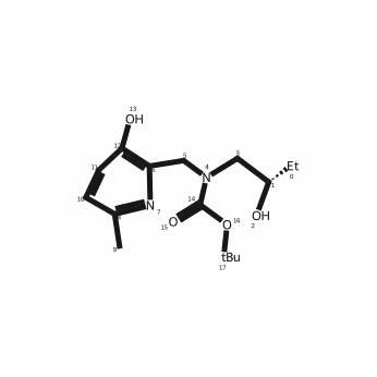 CC[C@H](O)CN(Cc1nc(C)ccc1O)C(=O)OC(C)(C)C